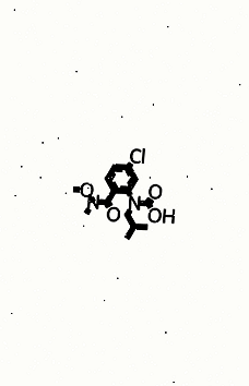 CON(C)C(=O)c1ccc(Cl)cc1N(CC(C)C)C(=O)O